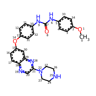 COc1ccc(NC(=O)Nc2ccc(Oc3ccc4ncc(N5CCNCC5)nc4c3)cc2)cc1